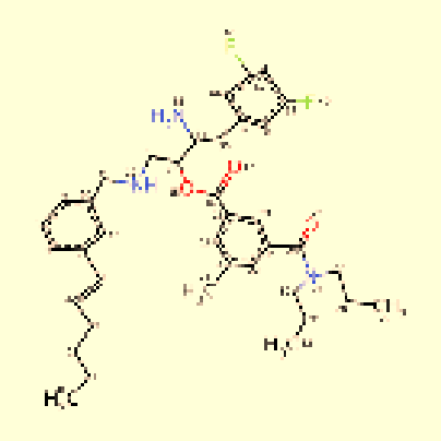 CCCCC=Cc1cccc(CNCC(OC(=O)c2cc(C)cc(C(=O)N(CCC)CCC)c2)C(N)Cc2cc(F)cc(F)c2)c1